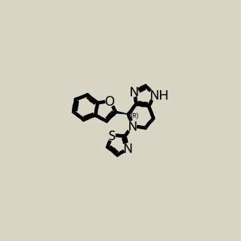 c1ccc2oc([C@H]3c4nc[nH]c4CCN3c3nccs3)cc2c1